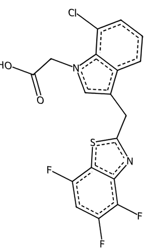 O=C(O)Cn1cc(Cc2nc3c(F)c(F)cc(F)c3s2)c2cccc(Cl)c21